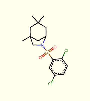 CC1(C)CC2CC(C)(CN2S(=O)(=O)c2cc(Cl)ccc2Cl)C1